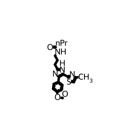 CCCC(=O)NCCCc1nc(-c2ccc3c(c2)OCO3)c(-c2nc(C)cs2)[nH]1